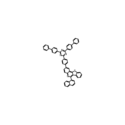 c1ccc(-c2ccc(-c3nc(-c4ccc(-c5ccccc5)cc4)nc(-c4ccc(-c5ccc6nc(-c7cccc8ccccc78)c7c8ccccc8sc7c6c5)cc4)n3)cc2)cc1